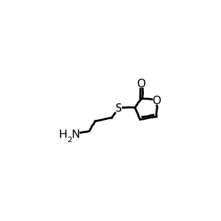 NCCCSC1C=COC1=O